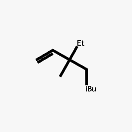 C=CC(C)(CC)CC(C)CC